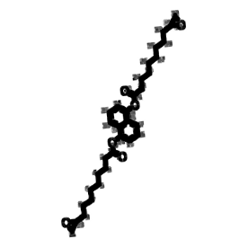 O=C(CCCCCCCCC1CO1)Oc1cccc2c(OC(=O)CCCCCCCCC3CO3)cccc12